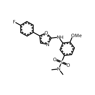 COc1ccc(S(=O)(=O)N(C)C)cc1Nc1ncc(-c2ccc(F)cc2)o1